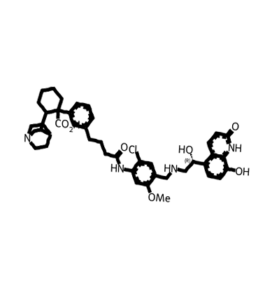 COc1cc(NC(=O)CCCc2cccc(C3(C(=O)O)CCCCC3C3CN4CCC3CC4)c2)c(Cl)cc1CNC[C@H](O)c1ccc(O)c2[nH]c(=O)ccc12